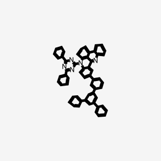 c1ccc(-c2cc(-c3ccccc3)cc(-c3cccc(-c4ccc5c(c4)-c4nc6ccccc6c6cccc(c46)N5c4nc(-c5ccccc5)nc(-c5ccccc5)n4)c3)c2)cc1